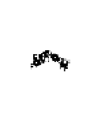 C[C@@H](Oc1nccn1-c1ccc(OCC(F)(F)C(F)F)cc1)[C@@]1(c2ccc(F)cc2F)CO1